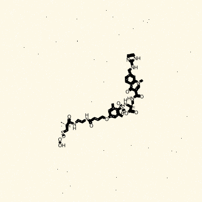 Cc1cc(OCCCC(=O)NCCNC(=O)[C@@H](C)CSOOO)cc(C)c1S(=O)(=O)N[C@@H](CNC(=O)c1cn(C)c2cc(CNc3ncc[nH]3)ccc2c1=O)C(=O)O